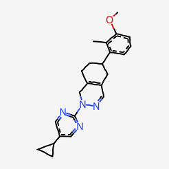 COc1cccc(C2CCC3=C(C=NN(c4ncc(C5CC5)cn4)C3)C2)c1C